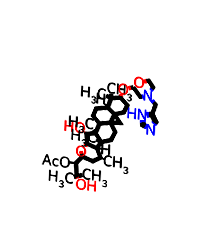 CC(=O)O[C@@H](C1C[C@@H](C)[C@H]2C(O1)[C@H](O)C1(C)C3CC[C@H]4C(C)(C)C(OC5CN(Cc6cnc[nH]6)CCO5)CCC45CC35CCC21C)C(C)(C)O